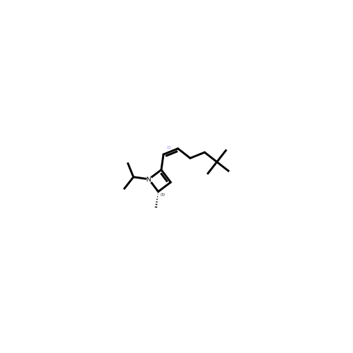 CC(C)N1C(/C=C\CCC(C)(C)C)=C[C@@H]1C